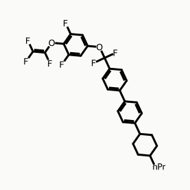 CCCC1CCC(c2ccc(-c3ccc(C(F)(F)Oc4cc(F)c(OC(F)=C(F)F)c(F)c4)cc3)cc2)CC1